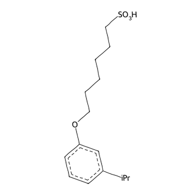 CC(C)c1cccc(OCCCCCCS(=O)(=O)O)c1